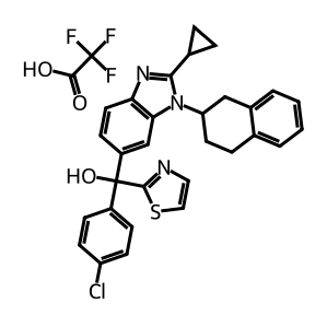 O=C(O)C(F)(F)F.OC(c1ccc(Cl)cc1)(c1ccc2nc(C3CC3)n(C3CCc4ccccc4C3)c2c1)c1nccs1